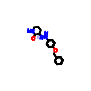 O=C1NCCC/C1=N\Nc1ccc(OCc2ccccc2)cc1